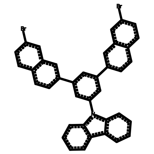 Brc1ccc2ccc(-c3cc(-c4ccc5ccc(Br)cc5c4)cc(-n4c5ccccc5c5ccccc54)c3)cc2c1